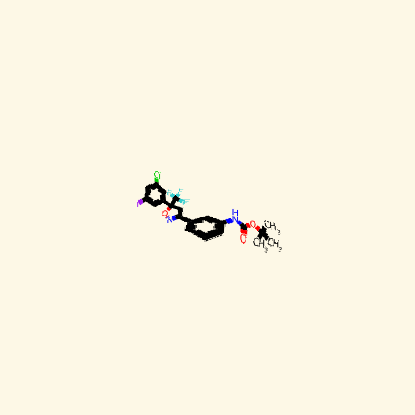 CC(C)(C)OC(=O)Nc1cccc(C2=NOC(c3cc(Cl)cc(I)c3)(C(F)(F)F)C2)c1